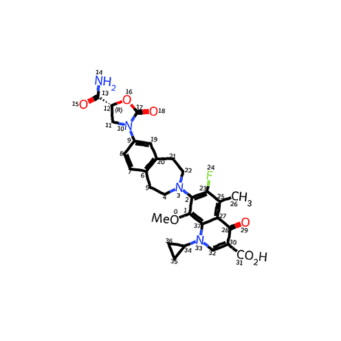 COc1c(N2CCc3ccc(N4C[C@H](C(N)=O)OC4=O)cc3CC2)c(F)c(C)c2c(=O)c(C(=O)O)cn(C3CC3)c12